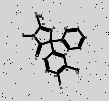 CN1C(=O)C(c2ccccc2)(c2ccc(F)c(Br)c2)N=C1N